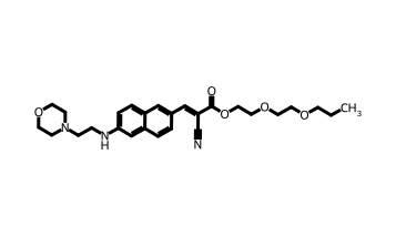 CCCOCCOCCOC(=O)/C(C#N)=C/c1ccc2cc(NCCN3CCOCC3)ccc2c1